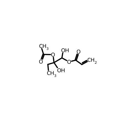 C=CC(=O)OC(O)C(O)(CC)OC(C)=O